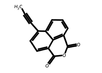 CC#Cc1ccc2c3c(cccc13)C(=O)OC2=O